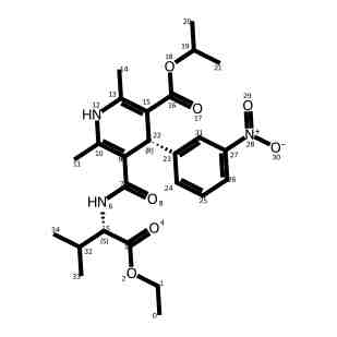 CCOC(=O)[C@@H](NC(=O)C1=C(C)NC(C)=C(C(=O)OC(C)C)[C@@H]1c1cccc([N+](=O)[O-])c1)C(C)C